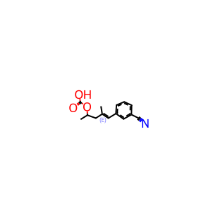 C/C(=C\c1cccc(C#N)c1)CC(C)OC(=O)O